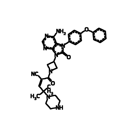 CC(C)(/C=C(/C#N)C(=O)N1CC(n2c(=O)n(-c3ccc(Oc4ccccc4)cc3)c3c(N)ncnc32)C1)N1CCNCC1